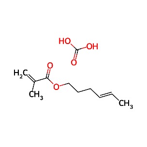 C=C(C)C(=O)OCCCC=CC.O=C(O)O